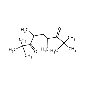 CC(CC(C)C(=O)C(C)(C)C)C(=O)C(C)(C)C